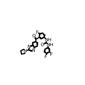 O=C(Nc1ccc(F)c(F)c1)Nc1ccc(F)c(C(=O)c2ccc3ncc(N4CCCC4)nc3c2)c1